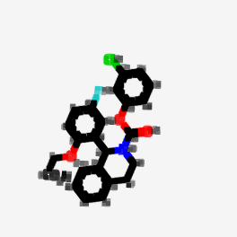 O=C(O)COc1ccc(F)cc1C1c2ccccc2CCN1C(=O)Oc1cccc(Cl)c1